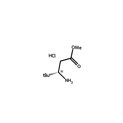 COC(=O)C[C@H](N)C(C)(C)C.Cl